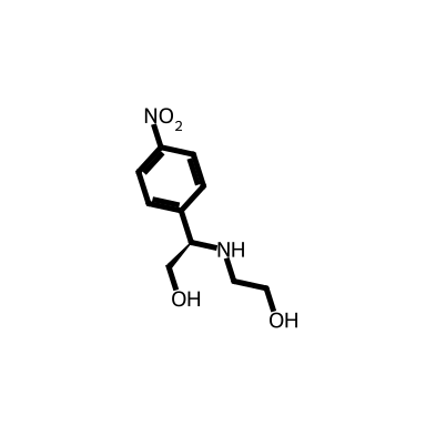 O=[N+]([O-])c1ccc([C@H](CO)NCCO)cc1